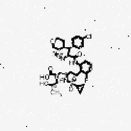 C[C@H](O)CN(C[C@@H](CCc1c(F)cccc1NC(=O)C(N=[N+]=[N-])C(c1ccc(Cl)cc1)C1CCOCC1)NS(=O)(=O)C1CC1)C(=O)O